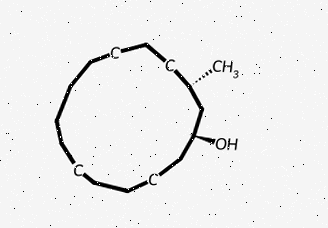 C[C@H]1CCCCCCCCCCCC[C@H](O)C1